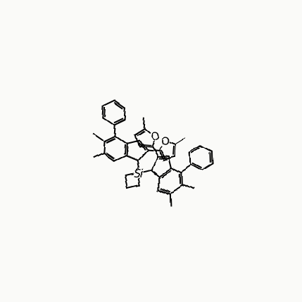 Cc1ccc(C2=Cc3c(cc(C)c(C)c3-c3ccccc3)C2[Si]2(C3C(c4ccc(C)o4)=Cc4c3cc(C)c(C)c4-c3ccccc3)CCC2)o1